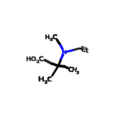 CCN(C)C(C)(C)C(=O)O